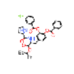 CCC(CC)OC(=O)C(Cc1ccc(OC(=O)c2ccccc2)c(OC(=O)c2ccccc2)c1)NC(=O)C1CCCN1.F